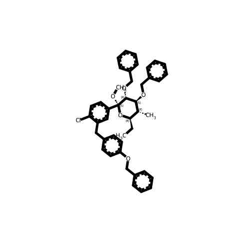 CC[C@H]1O[C@@](OC)(c2ccc(Cl)c(Cc3ccc(OCc4ccccc4)cc3)c2)[C@H](OCc2ccccc2)[C@@H](OCc2ccccc2)[C@@H]1C